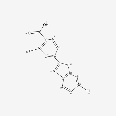 O=C(O)c1ncc(-c2nc3ccc(Cl)cc3o2)cc1F